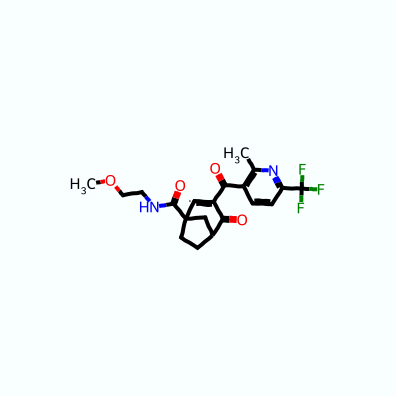 COCCNC(=O)C12[C]=C(C(=O)c3ccc(C(F)(F)F)nc3C)C(=O)C(CC1)C2